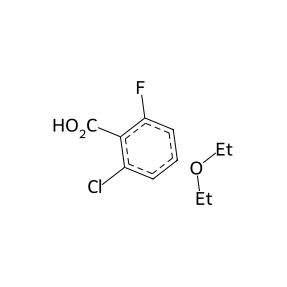 CCOCC.O=C(O)c1c(F)cccc1Cl